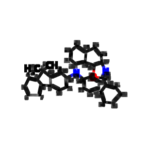 CC1(C)c2ccccc2-c2ccc(N(c3ccccc3)c3cccc4ccc5nc(-c6ccccc6)oc5c34)cc21